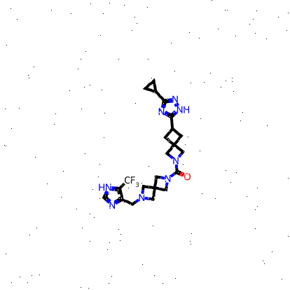 O=C(N1CC2(CC(c3nc(C4CC4)n[nH]3)C2)C1)N1CC2(CN(Cc3nc[nH]c3C(F)(F)F)C2)C1